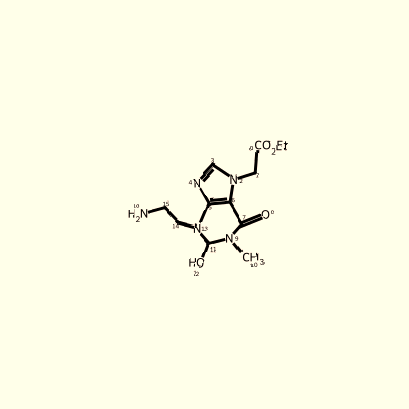 CCOC(=O)Cn1cnc2c1C(=O)N(C)C(O)N2CCN